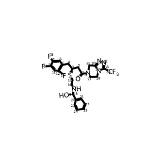 O=C(CC(Cc1cc(F)c(F)cc1F)SCCN[C@H](O)c1ccccc1)N1CCn2c(nnc2C(F)(F)F)C1